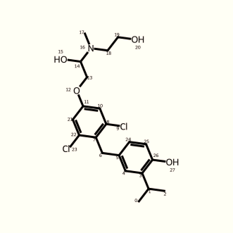 CC(C)c1cc(Cc2c(Cl)cc(OCC(O)N(C)CCO)cc2Cl)ccc1O